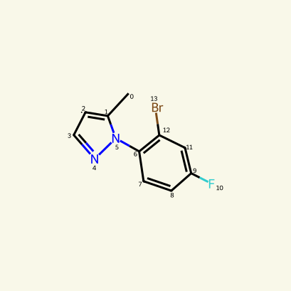 Cc1[c]cnn1-c1ccc(F)cc1Br